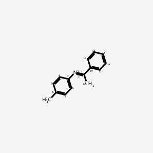 C/C(=N\c1ccc(C)cc1)c1ccccc1